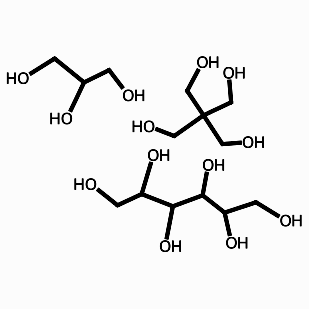 OCC(CO)(CO)CO.OCC(O)C(O)C(O)C(O)CO.OCC(O)CO